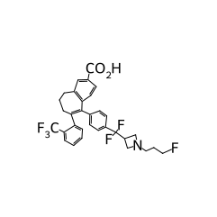 O=C(O)c1ccc2c(c1)CCCC(c1ccccc1C(F)(F)F)=C2c1ccc(C(F)(F)C2CN(CCCF)C2)cc1